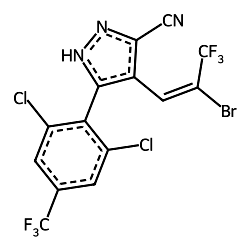 N#Cc1n[nH]c(-c2c(Cl)cc(C(F)(F)F)cc2Cl)c1/C=C(/Br)C(F)(F)F